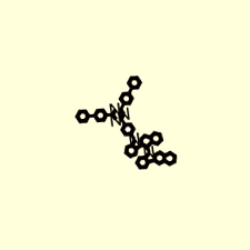 c1ccc(-c2ccc(-c3nc(-c4ccc(-c5ccccc5)cc4)nc(-c4ccc(-n5c6ccccc6c6c(-n7c8ccccc8c8cc9ccccc9cc87)c7ccccc7cc65)cc4)n3)cc2)cc1